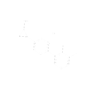 Cl.NC1CC1c1ccc(-c2cccc(C(F)(F)F)c2F)nc1